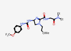 CCN(CC)C(=O)CNC(=O)C1=NC(NC(=O)Nc2ccc(OC(F)(F)F)cc2)CN1CCOC